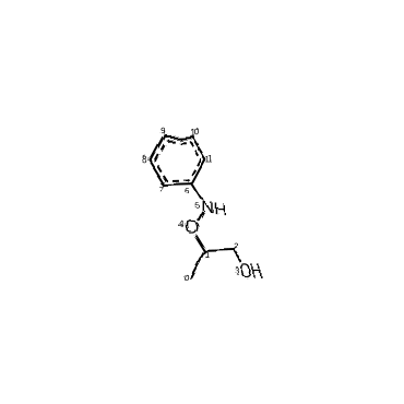 CC(CO)ONc1ccccc1